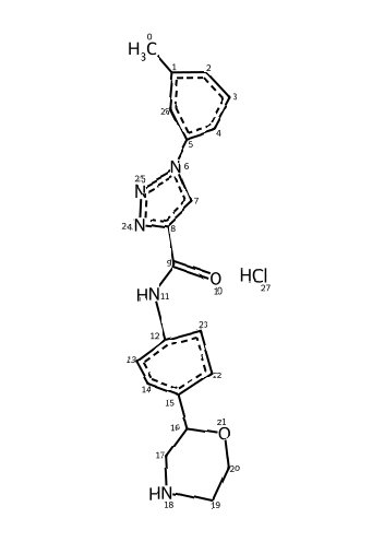 Cc1cccc(-n2cc(C(=O)Nc3ccc(C4CNCCO4)cc3)nn2)c1.Cl